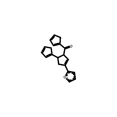 O=C(C1=CC=CC1)C1C=C(c2ccco2)CC1C1=CC=CC1